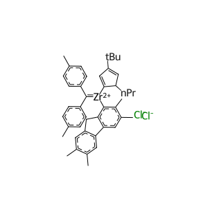 CCCC1C=C(C(C)(C)C)C=[C]1[Zr+2](=[C](c1ccc(C)cc1)c1ccc(C)cc1)[c]1c(C)c(C)cc2c1Cc1cc(C)c(C)cc1-2.[Cl-].[Cl-]